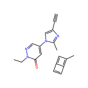 C#Cc1cn(-c2cnn(CC)c(=O)c2)c(C)n1.Cc1cc2ccc1-2